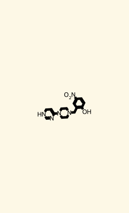 O=[N+]([O-])c1ccc(O)c(CN2CCN(C3=CCNC=N3)CC2)c1